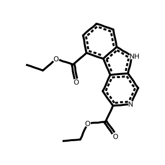 CCOC(=O)c1cc2c(cn1)[nH]c1cccc(C(=O)OCC)c12